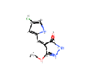 CC(C)OC1=NNC(=O)C1=Cc1cc(Cl)c[nH]1